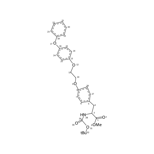 COC(=O)C(Cc1ccc(OCCOc2ccc(Oc3ccccc3)cc2)cc1)NC(=O)OC(C)(C)C